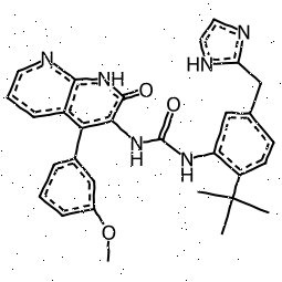 COc1cccc(-c2c(NC(=O)Nc3cc(Cc4ncc[nH]4)ccc3C(C)(C)C)c(=O)[nH]c3ncccc23)c1